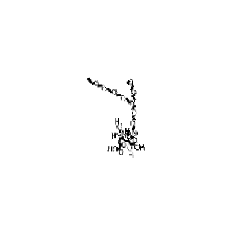 C#CCOCCOCCOCCOCCN(CCOCCOCCN(C)C(=O)O[C@@H]([C@@H]1OC(C(=O)O)=C[C@H](NC(=N)N)[C@H]1NC(C)=O)[C@H](O)CO)CCOCCN(C)C